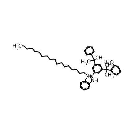 CCCCCCCCCCCCCCCCCCN1c2ccccc2NN1c1cc(C(C)(C)c2ccccc2)cc(C(C)(C)c2ccccc2O)c1